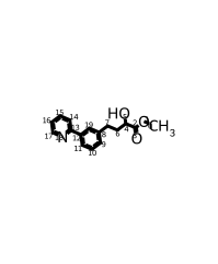 COC(=O)C(O)CCc1cccc(-c2ccccn2)c1